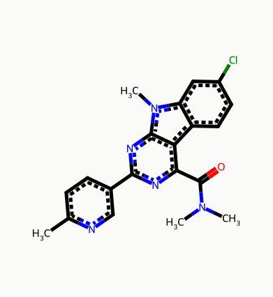 Cc1ccc(-c2nc(C(=O)N(C)C)c3c4ccc(Cl)cc4n(C)c3n2)cn1